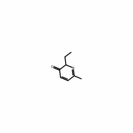 CCC1N=C(C)C=CC1=O